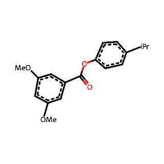 COc1cc(OC)cc(C(=O)Oc2ccc(C(C)C)cc2)c1